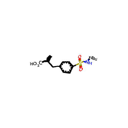 C=C(Cc1ccc(S(=O)(=O)NCCCC)cc1)C(=O)O